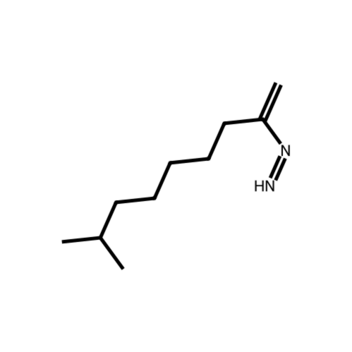 C=C(CCCCCC(C)C)N=N